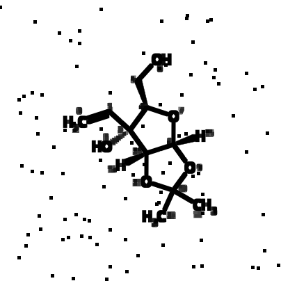 C=C[C@@]1(O)[C@@H](CO)O[C@@H]2OC(C)(C)O[C@@H]21